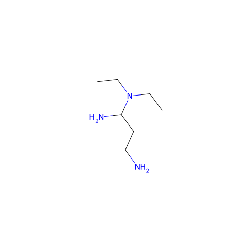 CCN(CC)C(N)CCN